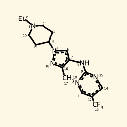 CCN1CCC(n2cc(Nc3ncc(C(F)(F)F)cn3)c(C)n2)CC1